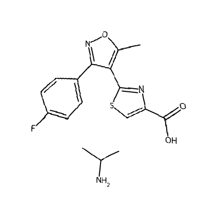 CC(C)N.Cc1onc(-c2ccc(F)cc2)c1-c1nc(C(=O)O)cs1